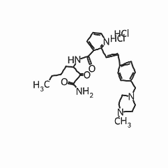 CCCCC(NC(=O)c1cccnc1/C=C/c1ccc(CN2CCN(C)CC2)cc1)C(=O)C(N)=O.Cl.Cl